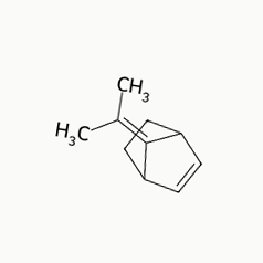 CC(C)=C1C2C=CC1CC2